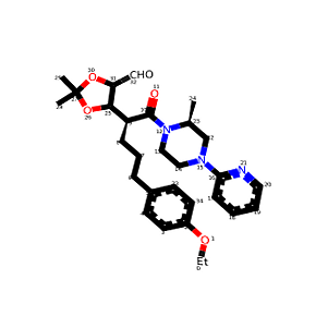 CCOc1ccc(CCC[C@H](C(=O)N2CCN(c3ccccn3)C[C@@H]2C)C2OC(C)(C)OC2C=O)cc1